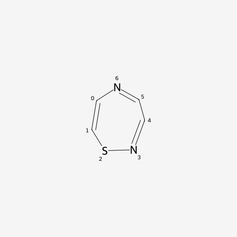 C1=CSN=CC=N1